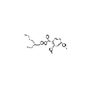 CCCCC([CH]OOC(=O)c1ccc(OC)cc1OC)CC